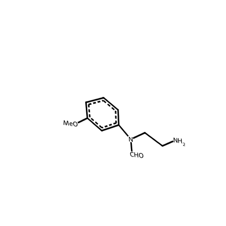 COc1cccc(N(C=O)CCN)c1